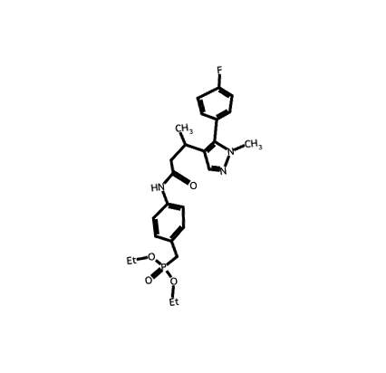 CCOP(=O)(Cc1ccc(NC(=O)CC(C)c2cnn(C)c2-c2ccc(F)cc2)cc1)OCC